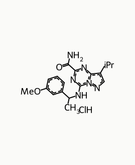 COc1cccc(C(C)Nc2nc(C(N)=O)nc3c(C(C)C)cnn23)c1.Cl